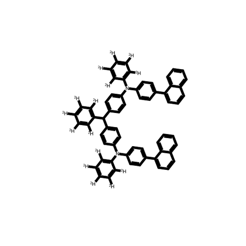 [2H]c1c([2H])c([2H])c(C(c2ccc(N(c3ccc(-c4cccc5ccccc45)cc3)c3c([2H])c([2H])c([2H])c([2H])c3[2H])cc2)c2ccc(N(c3ccc(-c4cccc5ccccc45)cc3)c3c([2H])c([2H])c([2H])c([2H])c3[2H])cc2)c([2H])c1[2H]